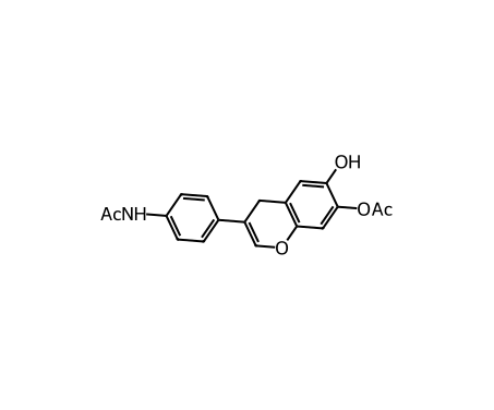 CC(=O)Nc1ccc(C2=COc3cc(OC(C)=O)c(O)cc3C2)cc1